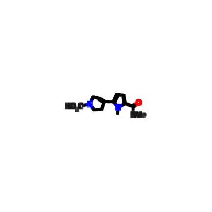 CNC(=O)c1ccc(C2=CCN(C(=O)O)CC2)n1C